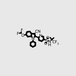 CC(C)(NS(=O)(=O)c1ccc(-c2c(C#N)c3ccc(OC(F)F)cc3n2-c2ccccc2)nc1)C(F)(F)F